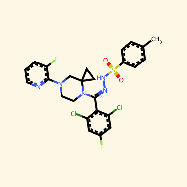 Cc1ccc(S(=O)(=O)N/N=C(/c2c(Cl)cc(F)cc2Cl)N2CCN(c3ncccc3F)CC23CC3)cc1